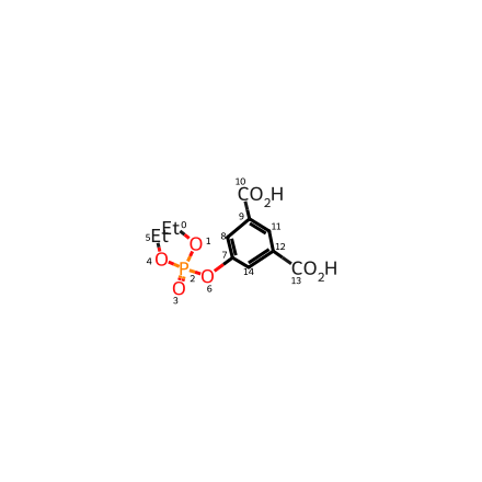 CCOP(=O)(OCC)Oc1cc(C(=O)O)cc(C(=O)O)c1